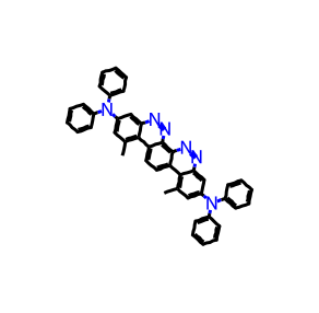 Cc1cc(N(c2ccccc2)c2ccccc2)cc2nnc3c(ccc4c3nnc3cc(N(c5ccccc5)c5ccccc5)cc(C)c34)c12